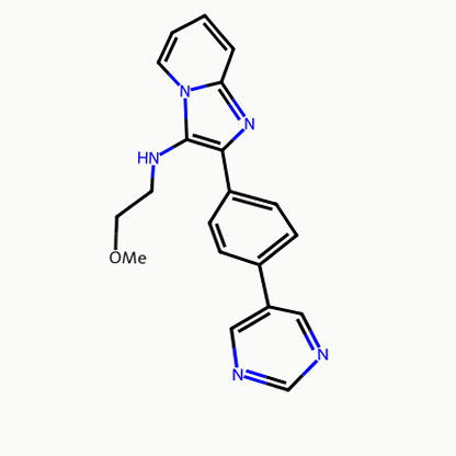 COCCNc1c(-c2ccc(-c3cncnc3)cc2)nc2ccccn12